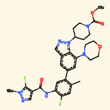 Cc1cc(F)c(NC(=O)c2cnn(C(C)(C)C)c2F)cc1-c1cc(N2CCOCC2)c2c(cnn2C2CCN(C(=O)OC(C)(C)C)CC2)c1